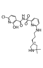 CC1(C)C[C@H](CCCNc2cccc(S(=O)(=O)NC(=O)c3ccc(Cl)nc3O)n2)CN1